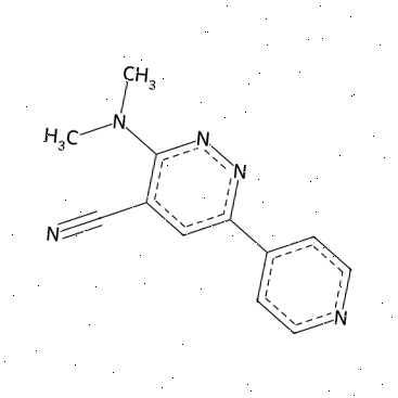 CN(C)c1nnc(-c2ccncc2)cc1C#N